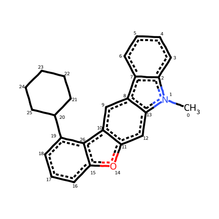 Cn1c2ccccc2c2cc3c(cc21)oc1cccc(C2CCCCC2)c13